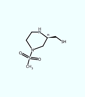 CS(=O)(=O)N1CCN[C@@H](CS)C1